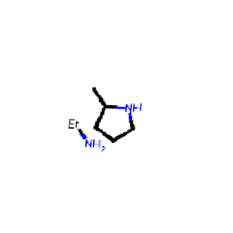 CC1CCCN1.CCN